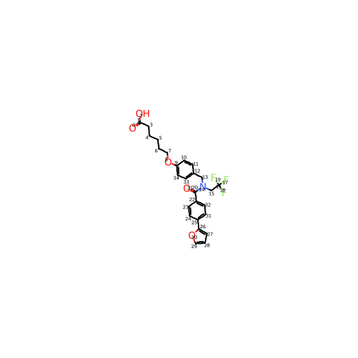 O=C(O)CCCCCOc1ccc(CN(CC(F)(F)F)C(=O)c2ccc(-c3ccco3)cc2)cc1